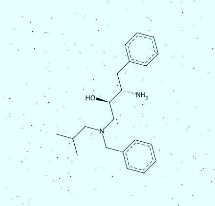 CC(C)CN(Cc1ccccc1)C[C@@H](O)[C@@H](N)Cc1ccccc1